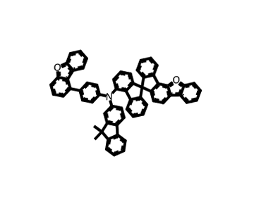 CC1(C)c2ccccc2-c2ccc(N(c3ccc(-c4cccc5oc6ccccc6c45)cc3)c3cccc4c3-c3ccccc3C43c4ccccc4-c4c3ccc3c4oc4ccccc43)cc21